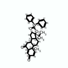 CC[C@]1(OC(=O)N(c2ccccc2)c2ccccc2)CCC2C3CC(=O)C4=CC(=O)C=C[C@]4(C)C3CC[C@@]21C